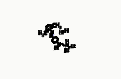 CCC(CC)NCCN(CC)c1ccc(/N=N/C2N(C)C=CN2C)cc1.I.I